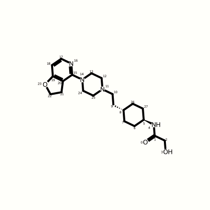 O=C(CO)N[C@H]1CC[C@H](CCN2CCN(c3nccc4c3CCO4)CC2)CC1